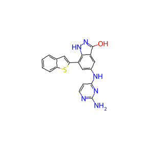 Nc1nccc(Nc2cc(-c3cc4ccccc4s3)c3[nH]nc(O)c3c2)n1